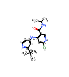 CC(C)NC(=O)c1cnc(Cl)cc1Nc1ccnc(C(C)(C)C)c1